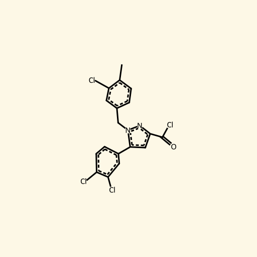 Cc1ccc(Cn2nc(C(=O)Cl)cc2-c2ccc(Cl)c(Cl)c2)cc1Cl